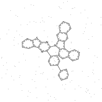 c1ccc(-c2ccc(-c3nc4c(nc3-n3c5cc6ccccc6cc5c5c6ccccc6ccc53)sc3ccccc34)cc2)cc1